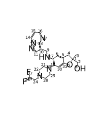 CC1(CO)Cc2cc(NCc3cnn4cccnc34)c(N3CCN(CC(F)F)CC3)cc2O1